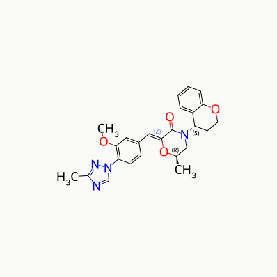 COc1cc(/C=C2\O[C@H](C)CN([C@H]3CCOc4ccccc43)C2=O)ccc1-n1cnc(C)n1